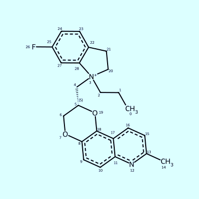 CCC[N+]1(C[C@H]2COc3ccc4nc(C)ccc4c3O2)CCc2ccc(F)cc21